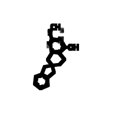 CSc1nc(O)c2c(n1)CC1(CC2)Cc2ccccc2C1